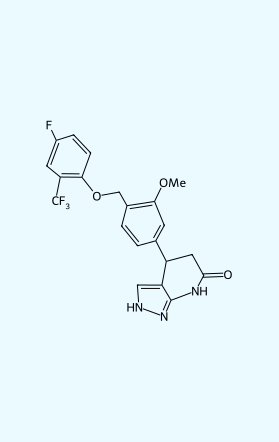 COc1cc(C2CC(=O)Nc3n[nH]cc32)ccc1COc1ccc(F)cc1C(F)(F)F